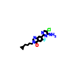 Nc1nc(-c2cc3ncn(CCCCC4CC4)c(=O)c3cc2F)ncc1Cl